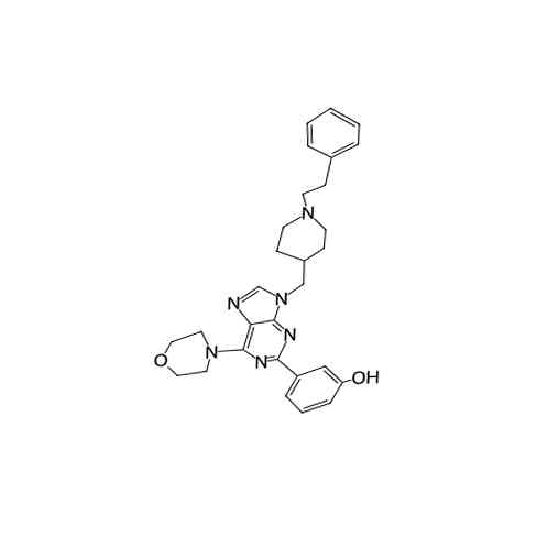 Oc1cccc(-c2nc(N3CCOCC3)c3ncn(CC4CCN(CCc5ccccc5)CC4)c3n2)c1